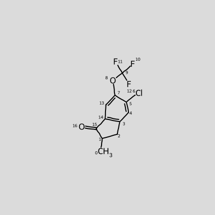 CC1Cc2cc(Cl)c(OC(F)(F)F)cc2C1=O